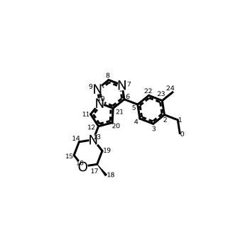 CCc1ccc(-c2ncnn3cc(N4CCO[C@H](C)C4)cc23)cc1C